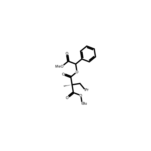 COC(=O)C(OC(=O)[C@@](C)(CC(C)C)C(=O)OC(C)(C)C)c1ccccc1